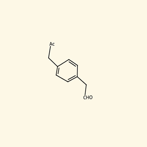 CC(=O)Cc1ccc(CC=O)cc1